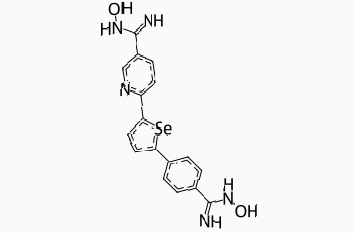 N=C(NO)c1ccc(-c2ccc(-c3ccc(C(=N)NO)cn3)[se]2)cc1